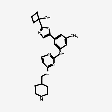 Cc1cc(Nc2nccc(OCC3CCNCC3)n2)cc(-c2cnc(C3(O)CCC3)s2)c1